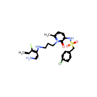 C=C/C(F)=C(\C=C/N)NCCCn1c(C)ccc(NS(=O)(=O)Cc2ccc(Cl)cc2)c1=O